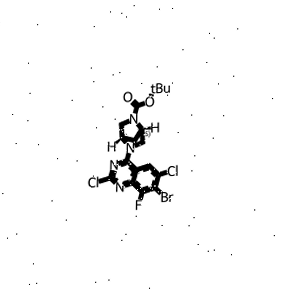 CC(C)(C)OC(=O)N1C[C@@H]2C[C@H]1CN2c1nc(Cl)nc2c(F)c(Br)c(Cl)cc12